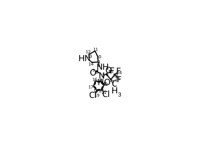 CC(O)(C(=O)N(C(=O)NC1CCCNC1)c1ccc(Cl)c(Cl)c1)C(F)(F)F